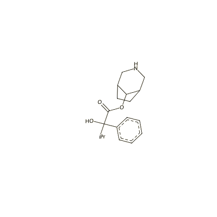 CC(C)C(O)(C(=O)OC1C2CCC1CNC2)c1ccccc1